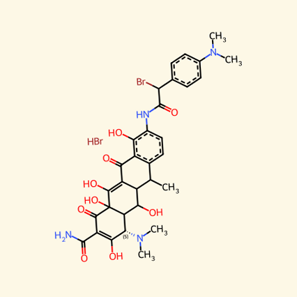 Br.CC1c2ccc(NC(=O)C(Br)c3ccc(N(C)C)cc3)c(O)c2C(=O)C2=C(O)C3(O)C(=O)C(C(N)=O)=C(O)[C@@H](N(C)C)C3C(O)C21